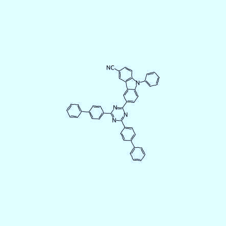 N#Cc1ccc2c(c1)c1cc(-c3nc(-c4ccc(-c5ccccc5)cc4)nc(-c4ccc(-c5ccccc5)cc4)n3)ccc1n2-c1ccccc1